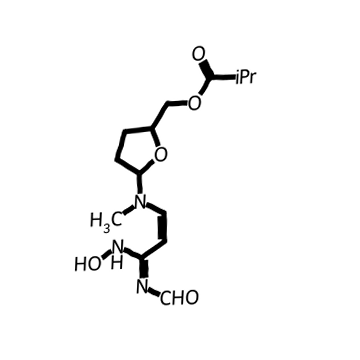 CC(C)C(=O)OCC1CCC(N(C)/C=C\C(=N/C=O)NO)O1